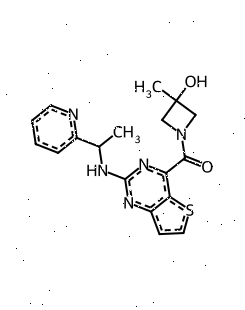 CC(Nc1nc(C(=O)N2CC(C)(O)C2)c2sccc2n1)c1ccccn1